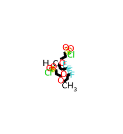 CC(CC(OC(CC(C)OCCCS(=O)(=O)Cl)=C(F)F)=C(F)F)OCCCS(=O)(=O)Cl